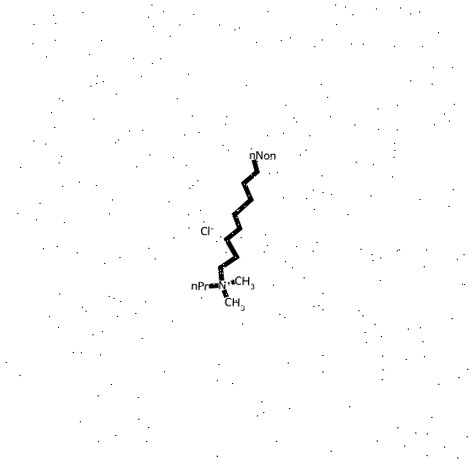 CCCCCCCCCCCCCCCCC[N+](C)(C)CCC.[Cl-]